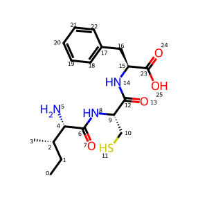 CC[C@H](C)[C@H](N)C(=O)N[C@@H](CS)C(=O)N[C@@H](Cc1ccccc1)C(=O)O